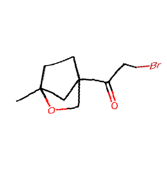 CC12CCC(C(=O)CBr)(CO1)C2